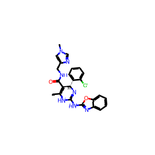 CC1=C(C(=O)NCc2cn(C)cn2)[C@H](c2ccccc2Cl)N=C(Nc2nc3ccccc3o2)N1